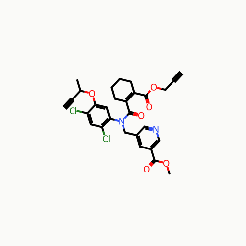 C#CCOC(=O)C1=C(C(=O)N(Cc2cncc(C(=O)OC)c2)c2cc(OC(C)C#C)c(Cl)cc2Cl)CCCC1